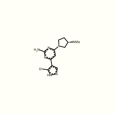 CCc1[nH]ncc1-c1cc(N2CC[C@@H](NC)C2)nc(N)n1